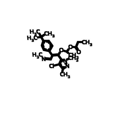 CCC(=O)OC(C)O/C(=C(/C=N\C)c1ccc(C(C)(C)C)cc1)c1c(Cl)c(C)nn1C